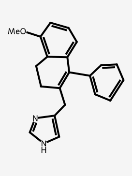 COc1cccc2c1CCC(Cc1c[nH]cn1)=C2c1ccccc1